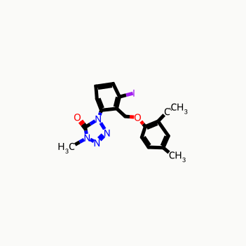 CCc1cc(C)ccc1OCc1c(I)cccc1-n1nnn(C)c1=O